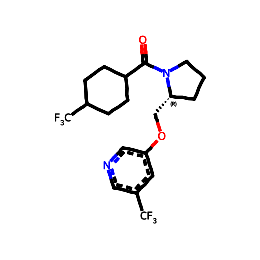 O=C(C1CCC(C(F)(F)F)CC1)N1CCC[C@@H]1COc1cncc(C(F)(F)F)c1